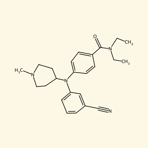 CCN(CC)C(=O)c1ccc(N(c2cccc(C#N)c2)C2CCN(C)CC2)cc1